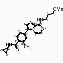 COCCCNc1nccn2c(-c3ccc(C(=O)NC4CC4)c(C)c3)cnc12